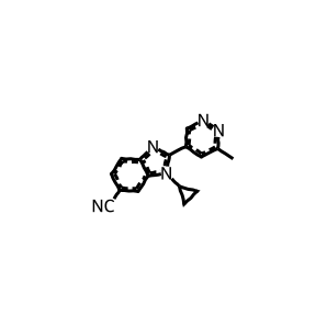 Cc1cc(-c2nc3ccc(C#N)cc3n2C2CC2)cnn1